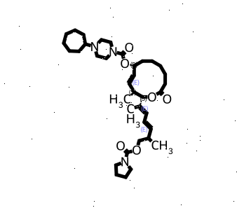 C/C(=C\C=C\C(C)COC(=O)N1CCCC1)[C@H]1OC(=O)CCCCC[C@@H](OC(=O)N2CCN(C3CCCCCC3)CC2)/C=C/[C@@H]1C